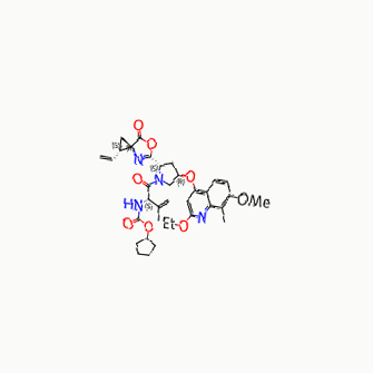 C=C[C@@H]1C[C@@]12N=C([C@@H]1C[C@@H](Oc3cc(OCC)nc4c(C)c(OC)ccc34)CN1C(=O)[C@@H](NC(=O)OC1CCCC1)C(=C)C)OC2=O